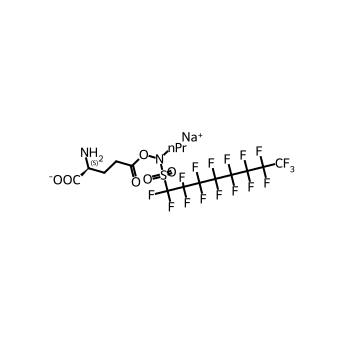 CCCN(OC(=O)CC[C@H](N)C(=O)[O-])S(=O)(=O)C(F)(F)C(F)(F)C(F)(F)C(F)(F)C(F)(F)C(F)(F)C(F)(F)C(F)(F)F.[Na+]